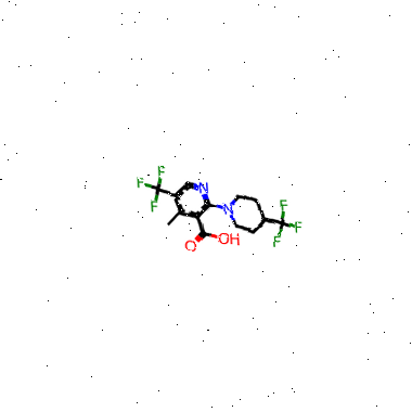 Cc1c(C(F)(F)F)cnc(N2CCC(C(F)(F)F)CC2)c1C(=O)O